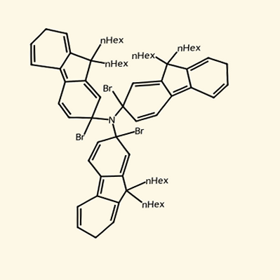 CCCCCCC1(CCCCCC)C2=CCC=CC2=C2C=CC(Br)(N(C3(Br)C=CC4=C5C=CCC=C5C(CCCCCC)(CCCCCC)C4=C3)C3(Br)C=CC4=C5C=CCC=C5C(CCCCCC)(CCCCCC)C4=C3)C=C21